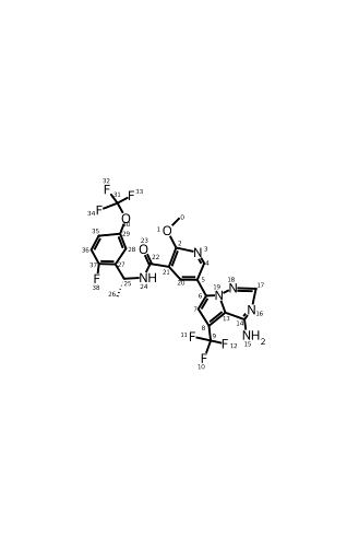 COc1ncc(-c2cc(C(F)(F)F)c3c(N)ncnn23)cc1C(=O)N[C@H](C)c1cc(OC(F)(F)F)ccc1F